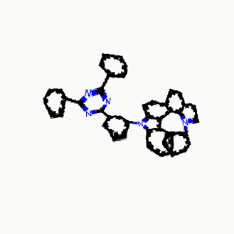 c1ccc(-c2nc(-c3ccccc3)nc(-c3cccc(-n4c5ccccc5c5c6c(ccc7ccn(-c8ccccc8)c76)ccc54)c3)n2)cc1